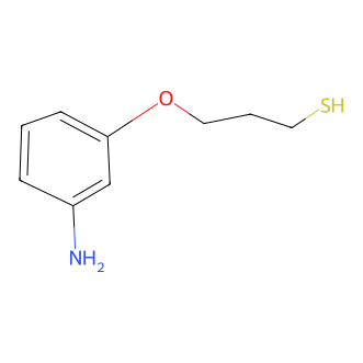 Nc1cccc(OCCCS)c1